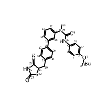 CCCCOc1ccc(NC(=O)N(C)c2cccc(-c3ccc(CC4SC(=O)NC4=O)cc3)c2)cc1